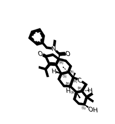 CC(C)C1=C2[C@H]3CC[C@@H]4[C@@]5(C)CC[C@H](O)C(C)(C)[C@@H]5CC[C@@]4(C)[C@]3(C)CC[C@@]2(C(=O)N(C)Cc2ccccc2)CC1=O